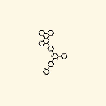 c1ccc(-c2cc(-c3ccc(-c4cc5c6ccccc6c6ccccc6c5c5ccccc45)cc3)nc(-c3ccc(-c4ncncn4)cc3)n2)cc1